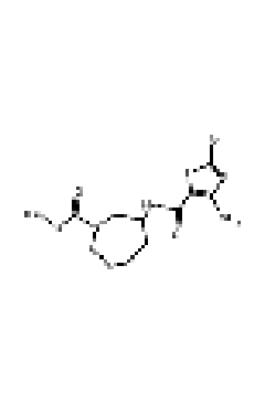 CC(C)(C)OC(=O)N1CCCCC(NC(=O)c2sc(Br)cc2N)C1